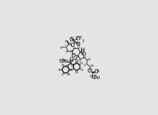 C=C(OS(=O)(=O)C(F)(F)F)[C@H](C)C[C@H]1CC[C@@H]2O[C@@H](CCCOC(=O)C(C)(C)C)C[C@]2(CO[Si](c2ccccc2)(c2ccccc2)C(C)(C)C)O1